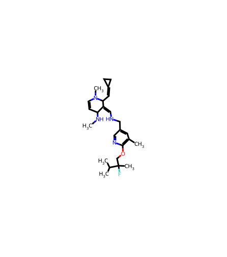 CNC1C=CN(C)C(C=C2CC2)/C1=C/NCc1cnc(OCC(C)(F)C(C)C)c(C)c1